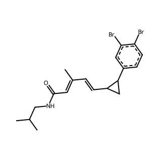 CC(C=CC1CC1c1ccc(Br)c(Br)c1)=CC(=O)NCC(C)C